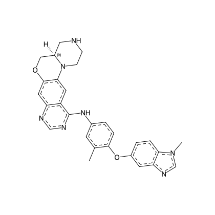 Cc1cc(Nc2ncnc3cc4c(cc23)N2CCNC[C@@H]2CO4)ccc1Oc1ccc2c(c1)ncn2C